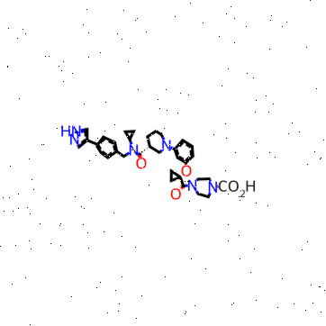 O=C(O)N1CCN(C(=O)C2(Oc3cccc(N4CCC[C@@H](C(=O)N(Cc5ccc(-c6cn[nH]c6)cc5)C5CC5)C4)c3)CC2)CC1